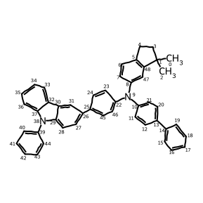 CC1(C)CCc2ccc(N(c3ccc(-c4ccccc4)cc3)c3ccc(-c4ccc5c(c4)c4ccccc4n5-c4ccccc4)cc3)cc21